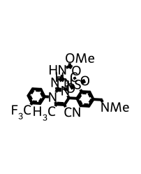 CNCc1ccc(C2C(C#N)=C(C)N(c3cccc(C(F)(F)F)c3)c3nc(NC(=O)OC)nn32)c(S(C)(=O)=O)c1